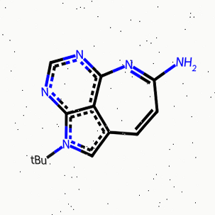 CC(C)(C)n1cc2c3c(ncnc31)N=C(N)C=C2